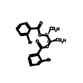 O=C(O[C@H](C(=O)O)[C@H](OC(=O)c1ccccc1Br)C(=O)O)c1ccccc1Br